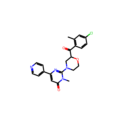 Cc1cc(Cl)ccc1C(=O)C1CN(c2nc(-c3ccncc3)cc(=O)n2C)CCO1